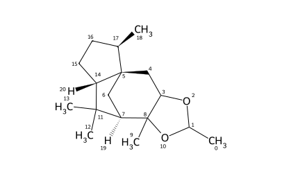 CC1OC2C[C@@]34C[C@@H](C2(C)O1)C(C)(C)[C@@H]3CC[C@H]4C